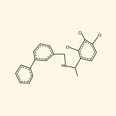 CC(NCc1cccc(-c2ccccc2)c1)c1ccc(Cl)c(Cl)c1Cl